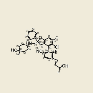 CC(O)COc1ccc(C#N)c(-c2c(Cl)c(F)cc3c2[C@H](C)[C@@](CNC2CCC(C)(O)CC2)(c2ccccc2)O3)c1F